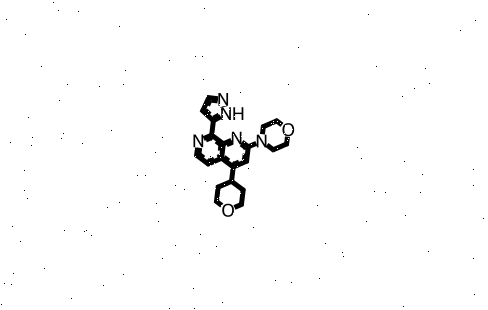 c1cc(-c2nccc3c(C4CCOCC4)cc(N4CCOCC4)nc23)[nH]n1